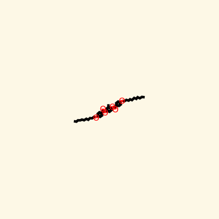 CCCCCCCCCCCOc1ccc(C(=O)Oc2ccc(OC(=O)c3ccc(OCCCCCCCCCCC)cc3)c(C)c2)cc1